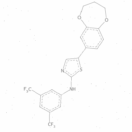 FC(F)(F)c1cc(Nc2ncc(-c3ccc4c(c3)OCCCO4)s2)cc(C(F)(F)F)c1